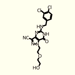 N#Cc1nn(CCOCCO)c2c(=O)[nH]c(NCc3ccc(Cl)c(Cl)c3)nc12